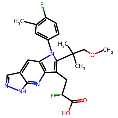 COCC(C)(C)c1c(C[C@H](F)C(=O)O)c2nc3[nH]ncc3cc2n1-c1ccc(F)c(C)c1